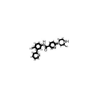 C[C@H]1CN(c2ccc(C(=O)Nc3ccc(I)c(-c4ccccn4)c3)cn2)CCN1